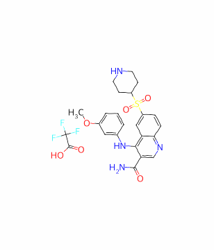 COc1cccc(Nc2c(C(N)=O)cnc3ccc(S(=O)(=O)C4CCNCC4)cc23)c1.O=C(O)C(F)(F)F